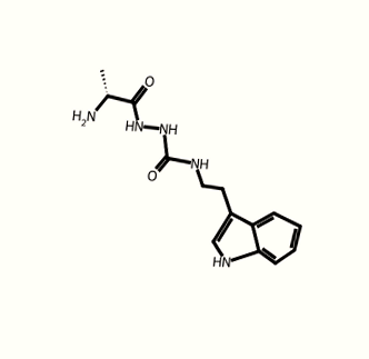 C[C@@H](N)C(=O)NNC(=O)NCCc1c[nH]c2ccccc12